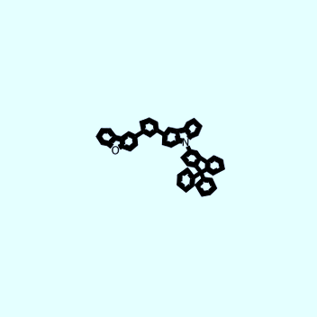 c1ccc(C2(c3ccccc3)c3ccccc3-c3cc(-n4c5ccccc5c5cc(-c6cccc(-c7ccc8oc9ccccc9c8c7)c6)ccc54)ccc32)cc1